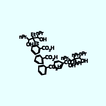 CCCC(O)C(CC)(CC)C(O)CCC.CCCC(O)C(CCC)(CCC)C(O)CCC.O=C(O)c1ccccc1.O=C(O)c1ccccc1.O=C(O)c1ccccc1.O=C(O)c1ccccc1